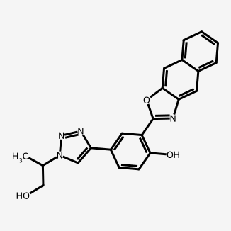 CC(CO)n1cc(-c2ccc(O)c(-c3nc4cc5ccccc5cc4o3)c2)nn1